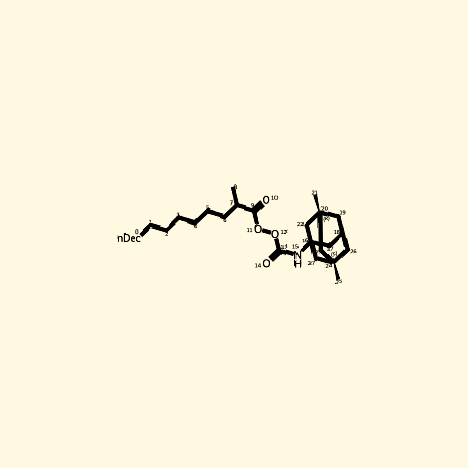 CCCCCCCCCCCCCCCCC(C)C(=O)OOC(=O)NC12CC3C[C@@](C)(C1)C[C@](C)(C3)C2